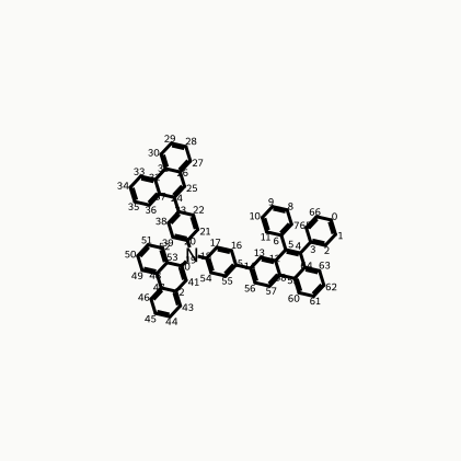 c1ccc(-c2c(-c3ccccc3)c3cc(-c4ccc(N(c5ccc(-c6cc7ccccc7c7ccccc67)cc5)c5cc6ccccc6c6ccccc56)cc4)ccc3c3ccccc23)cc1